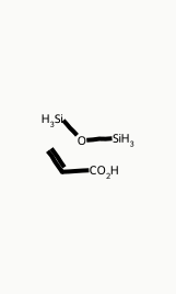 C=CC(=O)O.[SiH3]O[SiH3]